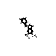 Cc1cc2c(cc1[N+](=O)[O-])N(Cc1cccc(F)c1)CC2